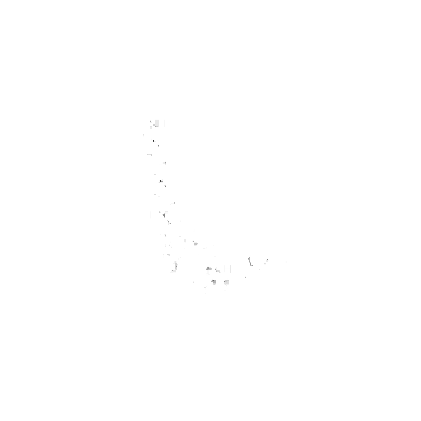 COC(=O)CC[C@@H](C)[C@H]1CCC2C3C(CC[C@@]21C)[C@@]1(C)CC[C@H](NCCNCCCNCN)CC1C[C@@H]3O